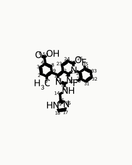 Cc1ccc(C(=O)O)cc1-c1nc(NCc2ncc[nH]2)nc2c1ccc(=O)n2-c1c(F)cccc1F